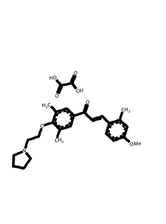 COc1ccc(/C=C/C(=O)c2cc(C)c(OCCN3CCCC3)c(C)c2)c(C)c1.O=C(O)C(=O)O